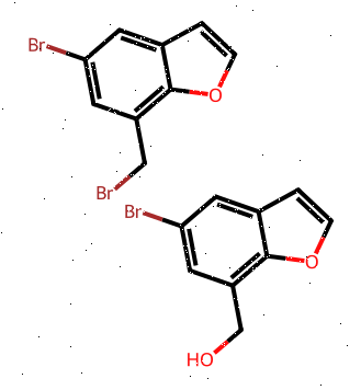 BrCc1cc(Br)cc2ccoc12.OCc1cc(Br)cc2ccoc12